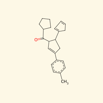 Cc1ccc(C2=CC(C(=O)C3CCCC3)C(C3=CC=CC3)C2)cc1